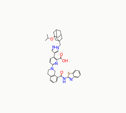 CC(C)OC12CC3CC(CC(Cn4cc(-c5ccc(N6CCc7cccc(C(=O)Nc8nc9ccccc9s8)c7C6)nc5C(=O)O)cn4)(C3)C1)C2